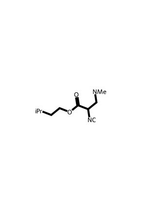 [C-]#[N+]C(CNC)C(=O)OCCC(C)C